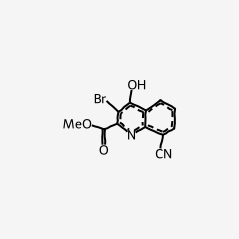 COC(=O)c1nc2c(C#N)cccc2c(O)c1Br